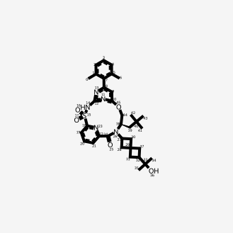 Cc1cccc(C)c1-c1cc2nc(n1)NS(=O)(=O)c1cccc(n1)C(=O)N(C1CC3(C1)CC(C(C)(C)O)C3)[C@H](CC(C)(C)C)CO2